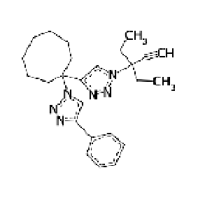 C#CC(CC)(CC)n1cc(C2(n3cc(-c4ccccc4)nn3)CCCCCCC2)nn1